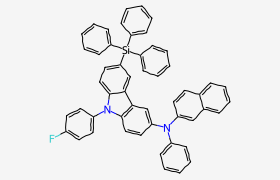 Fc1ccc(-n2c3ccc(N(c4ccccc4)c4ccc5ccccc5c4)cc3c3cc([Si](c4ccccc4)(c4ccccc4)c4ccccc4)ccc32)cc1